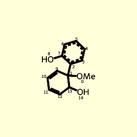 COC1(c2ccccc2O)C=CC=CC1O